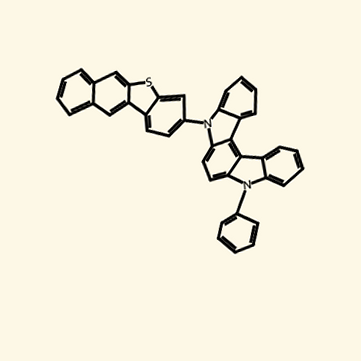 c1ccc(-n2c3ccccc3c3c4c5ccccc5n(-c5ccc6c(c5)sc5cc7ccccc7cc56)c4ccc32)cc1